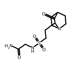 NC(=O)CNS(=O)(=O)CCC1C(=O)C2CCN1CC2